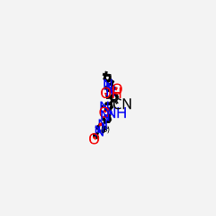 C[C@H]1CN(C2COC2)CCN1c1ccc(Nc2cc(-c3c(C#N)ccc(N4CCn5c(cc6c5CC(C)(C)C6)C4=O)c3CO)cn(C)c2=O)nc1